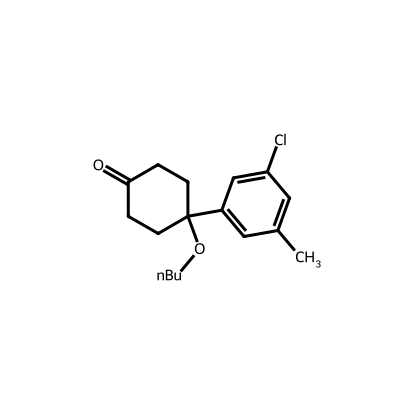 CCCCOC1(c2cc(C)cc(Cl)c2)CCC(=O)CC1